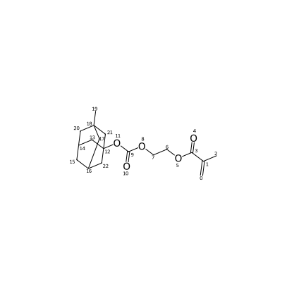 C=C(C)C(=O)OCCOC(=O)OC12CC3CC(CC(C)(C3)C1)C2